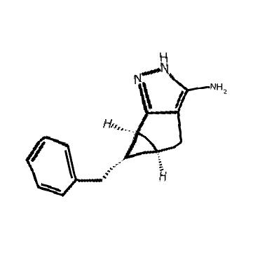 Nc1[nH]nc2c1C[C@H]1[C@H](Cc3ccccc3)[C@@H]21